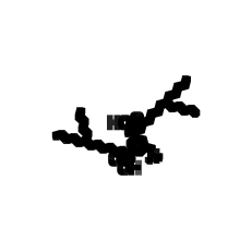 CCCCCC(CCCCC)CCCCCCC(C)(C(=O)O)c1cc(CN(C)C)cc(C(C)(CCCCCCC(CCCCC)CCCCC)C(=O)O)c1